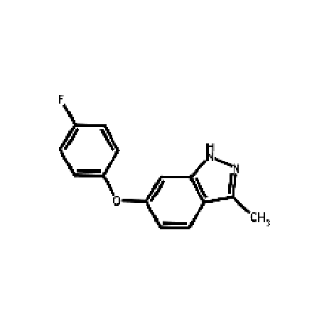 Cc1n[nH]c2cc(Oc3ccc(F)cc3)ccc12